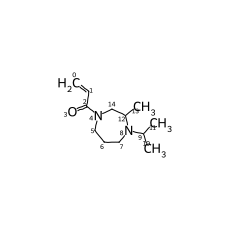 C=CC(=O)N1CCCN(C(C)C)C(C)C1